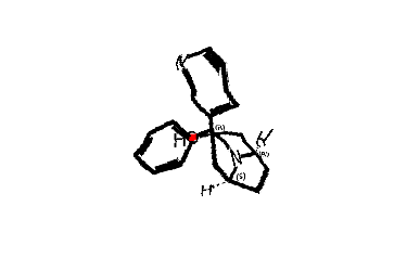 O[C@@]1(c2cccnc2)C[C@H]2CC[C@@H](C1)N2Cc1ccccc1